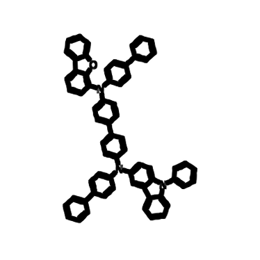 c1ccc(-c2ccc(N(c3ccc(-c4ccc(N(c5ccc(-c6ccccc6)cc5)c5cccc6c5oc5ccccc56)cc4)cc3)c3ccc4c(c3)c3ccccc3n4-c3ccccc3)cc2)cc1